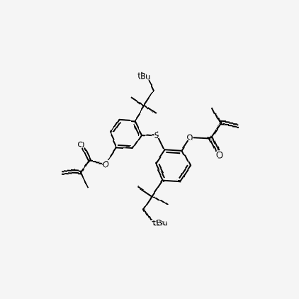 C=C(C)C(=O)Oc1ccc(C(C)(C)CC(C)(C)C)c(Sc2cc(C(C)(C)CC(C)(C)C)ccc2OC(=O)C(=C)C)c1